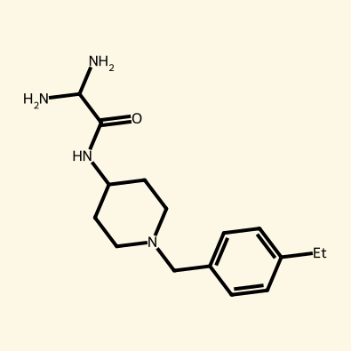 CCc1ccc(CN2CCC(NC(=O)C(N)N)CC2)cc1